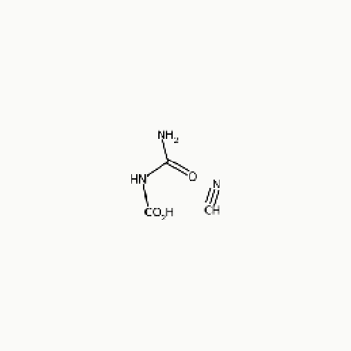 C#N.NC(=O)NC(=O)O